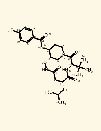 CC(C)C[C@H](CC(=O)NO)C(=O)N[C@H](C(=O)N1CCC(NC(=O)c2ccc(F)cc2)CC1)C(C)(C)C